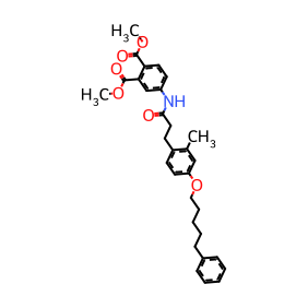 COC(=O)c1ccc(NC(=O)CCc2ccc(OCCCCCc3ccccc3)cc2C)cc1C(=O)OC